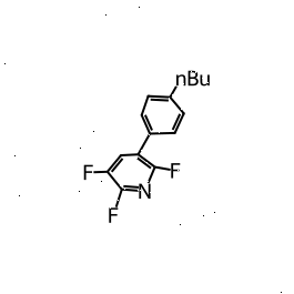 CCCCc1ccc(-c2cc(F)c(F)nc2F)cc1